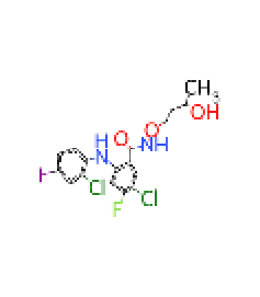 CC(O)CCONC(=O)c1cc(Cl)c(F)cc1Nc1ccc(I)cc1Cl